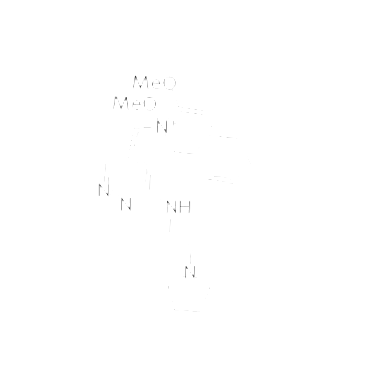 COC1=CC2=C(C=CCC2)C2=c3c(NCCN4CCCC4)nncc3=C[N+]12OC